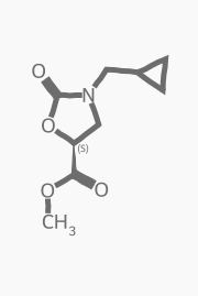 COC(=O)[C@@H]1CN(CC2CC2)C(=O)O1